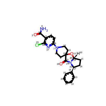 NC(=O)c1ccc(N2CCC3(CC2)O[C@@H]2CC[C@@H](c4ccccc4)N2C3=O)nc1Cl